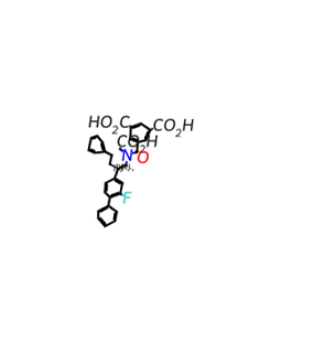 C[C@H]([C@H](CCc1ccccc1)c1ccc(-c2ccccc2)c(F)c1)N(CC(=O)O)C(=O)c1cc(C(=O)O)cc(C(=O)O)c1